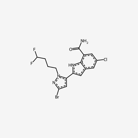 NC(=O)c1cc(Cl)cc2cc(-c3cc(Br)nn3CCCC(F)F)[nH]c12